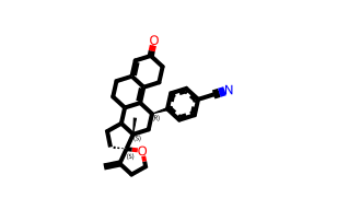 C=C1CCO[C@@]12CCC1C3CCC4=CC(=O)CCC4=C3[C@@H](c3ccc(C#N)cc3)C[C@@]12C